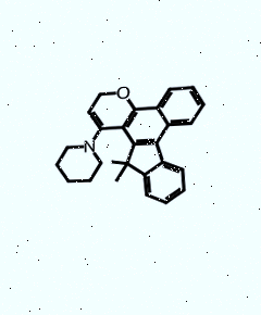 CC1(C)c2ccccc2-c2c1c1c(c3ccccc23)OCC=C1N1CCCCC1